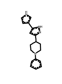 c1ccc(N2CCC(c3cc(-c4cc[nH]c4)[nH]n3)CC2)cc1